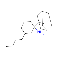 CCCCC1CCCC(N)(C23CC4CC(CC(C4)C2)C3)C1